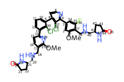 COc1cc(-c2nccc(-c3cccc(-c4ccc(CNC[C@@H]5CCC(=O)N5)c(OC)n4)c3Cl)c2Cl)cc(F)c1CNC[C@H]1CCC(=O)N1